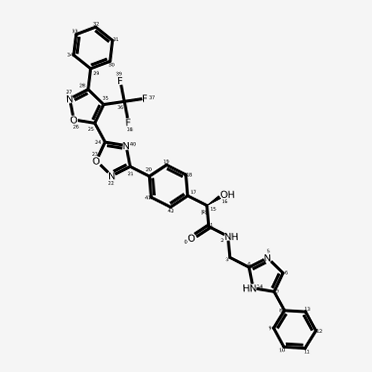 O=C(NCc1ncc(-c2ccccc2)[nH]1)[C@H](O)c1ccc(-c2noc(-c3onc(-c4ccccc4)c3C(F)(F)F)n2)cc1